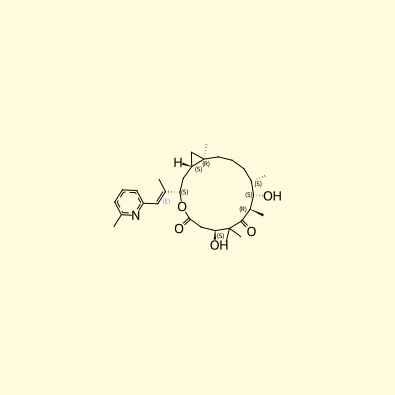 C/C(=C\c1cccc(C)n1)[C@@H]1C[C@@H]2C[C@@]2(C)CCC[C@H](C)[C@H](O)[C@@H](C)C(=O)C(C)(C)[C@@H](O)CC(=O)O1